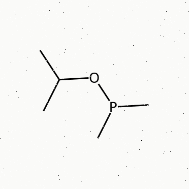 CC(C)OP(C)C